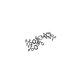 O=C(NCc1ccc(OC(F)(F)F)cc1)[C@H]1CN(c2nc3nc(OC(F)F)ncc3s2)CCN1S(=O)(=O)c1ccc(OC(F)(F)F)cc1